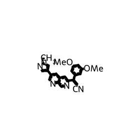 COc1cc(OC)cc(/C(=C/C#N)c2cc3cc(-c4cnn(C)c4)cnc3cn2)c1